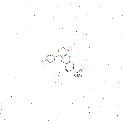 COC(=O)c1ccc(CC2=CC(=O)CSC2c2ccc(F)cc2)c(F)c1